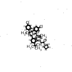 CCOc1cc(C(C)(C)C)ccc1C1=N[C@@](C)(c2ccc(Cl)cc2)[C@@](C)(c2ccc(Cl)cc2)N1C(=O)N1CCN(CC(=O)N2CCCC2)CC1